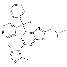 Cc1noc(C)c1-c1cc(C(O)(c2ccccn2)c2ccccn2)c2nc(CC(C)C)[nH]c2c1